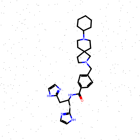 O=C(NC(Cc1ncc[nH]1)Cc1ncc[nH]1)c1ccc(CN2CCC3(CCN(C4CCCCC4)CC3)C2)cc1